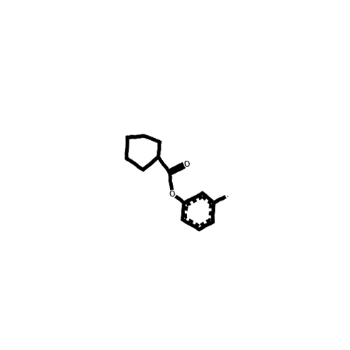 [CH2]c1cccc(OC(=O)C2CCCCC2)c1